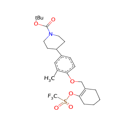 Cc1cc(C2CCN(C(=O)OC(C)(C)C)CC2)ccc1OCC1=C(OS(=O)(=O)C(F)(F)F)CCCC1